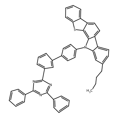 CCCCc1ccc2c3ccc4c5ccccc5sc4c3n(-c3ccc(-c4cccc(-c5nc(-c6ccccc6)nc(-c6ccccc6)n5)c4)cc3)c2c1